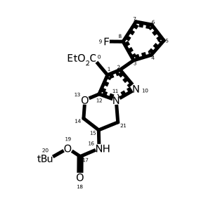 CCOC(=O)c1c(-c2ccccc2F)nn2c1OCC(NC(=O)OC(C)(C)C)C2